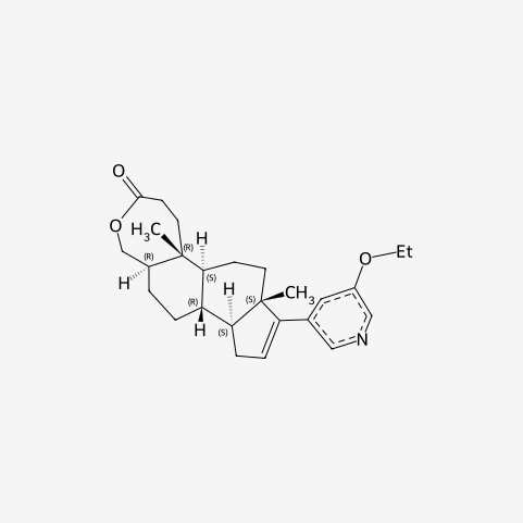 CCOc1cncc(C2=CC[C@H]3[C@@H]4CC[C@H]5COC(=O)CC[C@]5(C)[C@H]4CC[C@]23C)c1